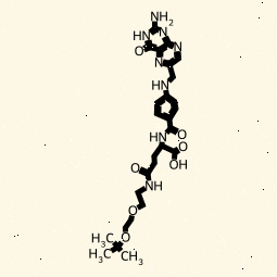 CC(C)(C)OCCOCCNC(=O)CCC(NC(=O)c1ccc(NCc2cnc3nc(N)[nH]c(=O)c3n2)cc1)C(=O)O